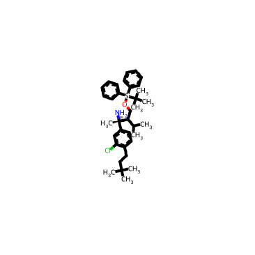 CC(C)C(CO[Si](c1ccccc1)(c1ccccc1)C(C)(C)C)[C@@](C)(N)c1ccc(CCC(C)(C)C)c(Cl)c1